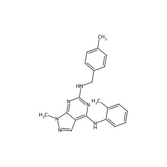 Cc1ccc(CNc2nc(Nc3ccccc3C)c3cnn(C)c3n2)cc1